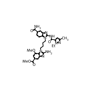 CCn1nc(C)cc1C(=O)Nc1nc2cc(C(N)=O)ccc2n1CCCCn1c(N)nc2cc(C(=O)OC)cc(OC)c21